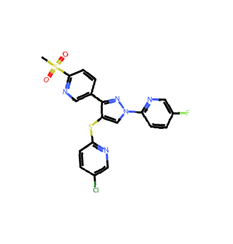 CS(=O)(=O)c1ccc(-c2nn(-c3ccc(F)cn3)cc2Sc2ccc(Cl)cn2)cn1